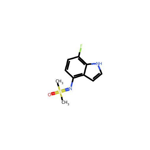 CS(C)(=O)=Nc1ccc(F)c2[nH]ccc12